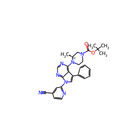 C[C@H]1CN(C(=O)OC(C)(C)C)CCN1c1ncnc2c1c(-c1ccccc1)cn2-c1cc(C#N)ccn1